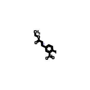 CCOC(=O)/C=C/c1ccc(I)c([N+](=O)[O-])c1